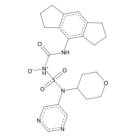 O=C(Nc1c2c(cc3c1CCC3)CCC2)[NH+]([O-])S(=O)(=O)N(c1cncnc1)C1CCOCC1